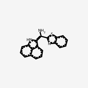 N/C(c1nc2ccccc2s1)=c1\[nH]c2cccc3cccc1c32